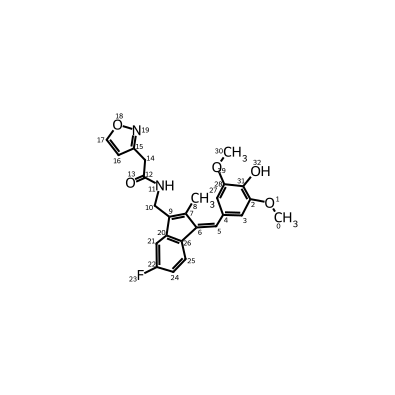 COc1cc(C=C2C(C)=C(CNC(=O)Cc3ccon3)c3cc(F)ccc32)cc(OC)c1O